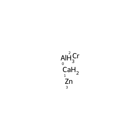 [AlH3].[CaH2].[Cr].[Zn]